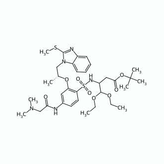 CCOC(OCC)C(CC(=O)OC(C)(C)C)NS(=O)(=O)c1ccc(NC(=O)CN(C)C)cc1O[C@H](C)Cn1c(SC)nc2ccccc21